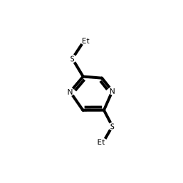 CCSc1cnc(SCC)cn1